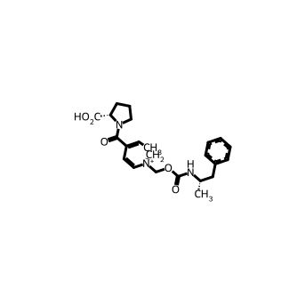 C=[N+](/C=C\C(=C/C)C(=O)N1CCC[C@H]1C(=O)O)COC(=O)N[C@@H](C)Cc1ccccc1